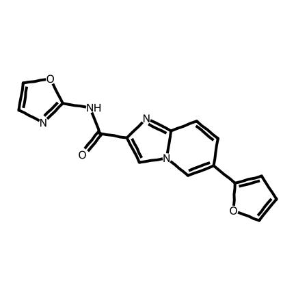 O=C(Nc1ncco1)c1cn2cc(-c3ccco3)ccc2n1